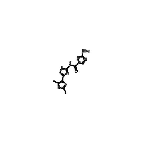 CC(=O)Nc1nc(C(=O)Nc2nc(-c3sc(C)nc3C)cs2)cs1